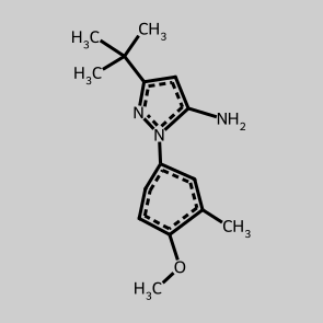 COc1ccc(-n2nc(C(C)(C)C)cc2N)cc1C